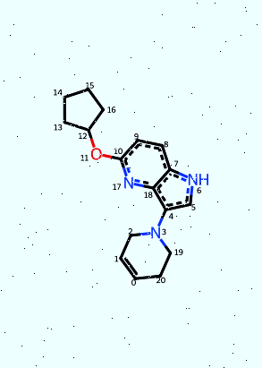 C1=CCN(c2c[nH]c3ccc(OC4CCCC4)nc23)CC1